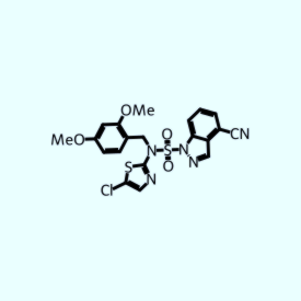 COc1ccc(CN(c2ncc(Cl)s2)S(=O)(=O)n2ncc3c(C#N)cccc32)c(OC)c1